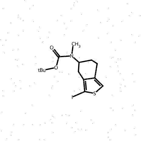 CN(C(=O)OC(C)(C)C)C1CCc2csc(I)c2C1